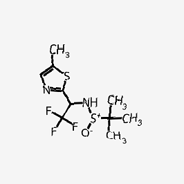 Cc1cnc(C(N[S+]([O-])C(C)(C)C)C(F)(F)F)s1